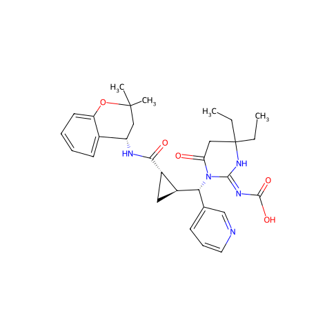 CCC1(CC)CC(=O)N([C@H](c2cccnc2)[C@H]2C[C@@H]2C(=O)N[C@H]2CC(C)(C)Oc3ccccc32)C(=NC(=O)O)N1